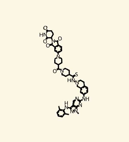 Cc1cccc(C)c1Nc1nn(C)c2nc(Nc3ccc4c(c3)CN(NC(=S)C3CCN(C(=O)C5CCN(c6ccc7c(c6)C(=O)N(C6CCC(=O)NC6=O)C7=O)CC5)CC3)CC4)ncc12